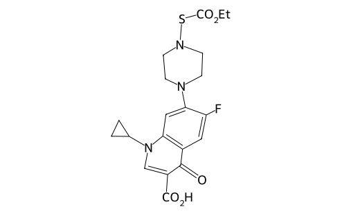 CCOC(=O)SN1CCN(c2cc3c(cc2F)c(=O)c(C(=O)O)cn3C2CC2)CC1